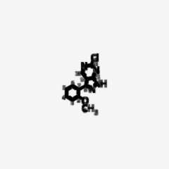 COc1ccccc1-c1n[nH]c2nc(Cl)ncc12